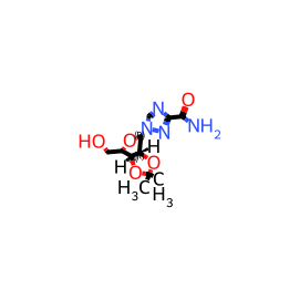 CC1(C)O[C@@H]2[C@H](O1)C(CO)O[C@H]2n1cnc(C(N)=O)n1